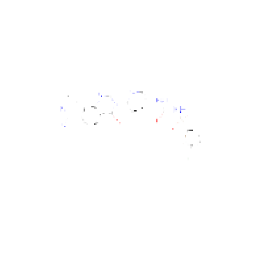 CN1CCN=C1c1ccc2c(=O)n(-c3ccc(NC(=O)NS(=O)(=O)c4ccc(Cl)s4)cn3)cnc2c1